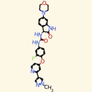 Cn1cc(-c2cc(Oc3ccc(NC(=O)NC4C(=O)Nc5cc(N6CCOCC6)ccc54)cc3F)ccn2)cn1